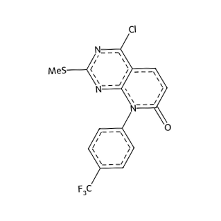 CSc1nc(Cl)c2ccc(=O)n(-c3ccc(C(F)(F)F)cc3)c2n1